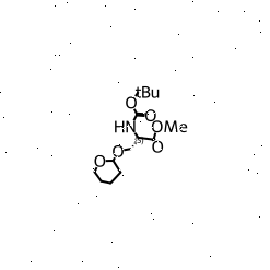 COC(=O)[C@H](COC1CCCCO1)NC(=O)OC(C)(C)C